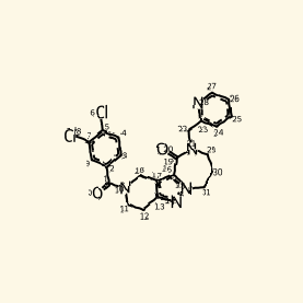 O=C(c1ccc(Cl)c(Cl)c1)N1CCc2nn3c(c2C1)C(=O)N(Cc1ccccn1)CCC3